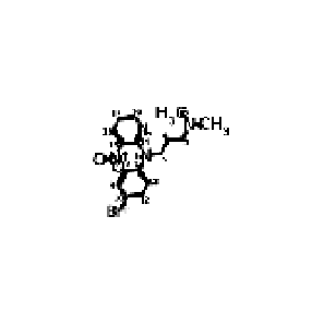 CN(C)CCCN(c1ccc(Br)cc1)c1ncccc1[N+](=O)[O-]